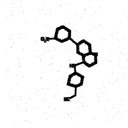 N#CCc1ccc(Nc2ccnc3ccc(-c4cccc([N+](=O)[O-])c4)cc23)cc1